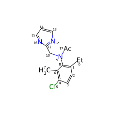 CCc1ccc(Cl)c(C)c1N(Cc1ncccn1)C(C)=O